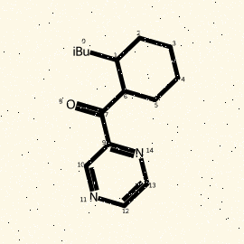 CCC(C)C1CCCCC1C(=O)c1cnccn1